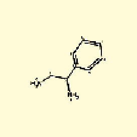 NCC(N)c1ccccc1